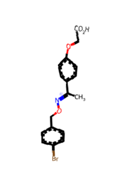 C/C(=N\OCc1ccc(Br)cc1)c1ccc(OCC(=O)O)cc1